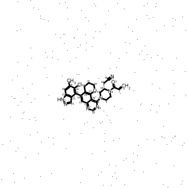 C=CC(=O)N1CCN(c2ncnc3cc(-c4c(Cl)c(C)cc5[nH]ncc45)c4c(c23)OCCC4)C[C@@H]1CC#N